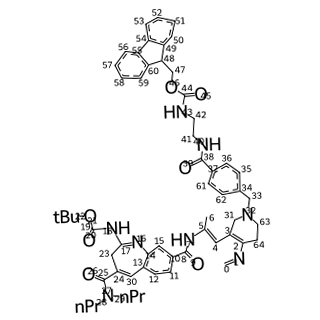 C=NC1=C(/C=C(\C)NC(=O)c2ccc3c(c2)N=C(NC(=O)OC(C)(C)C)CC(C(=O)N(CCC)CCC)=C3)CN(Cc2ccc(C(=O)NCCNC(=O)OCC3c4ccccc4-c4ccccc43)cc2)CC1